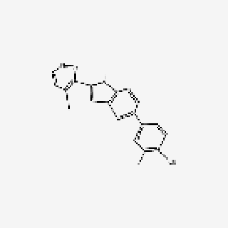 Cc1cc(-c2ccc3[nH]c(-c4cnccc4C)cc3c2)ccc1C#N